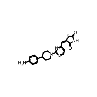 Nc1ccc(C2CCN(c3nccc(C=C4SC(=O)NC4=O)n3)CC2)cc1